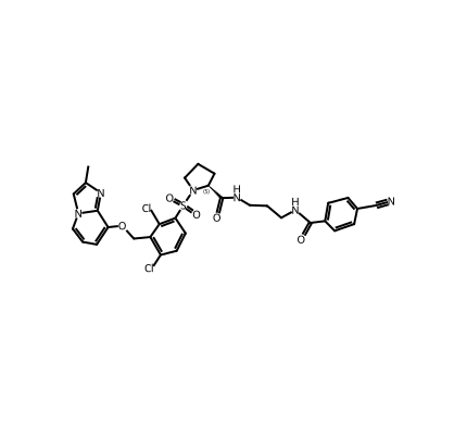 Cc1cn2cccc(OCc3c(Cl)ccc(S(=O)(=O)N4CCC[C@H]4C(=O)NCCCNC(=O)c4ccc(C#N)cc4)c3Cl)c2n1